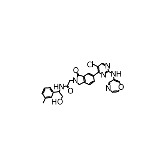 Cc1cccc(C(CO)NC(=O)CN2Cc3ccc(-c4nc(NC5=COC=CN=C5)ncc4Cl)cc3C2=O)c1